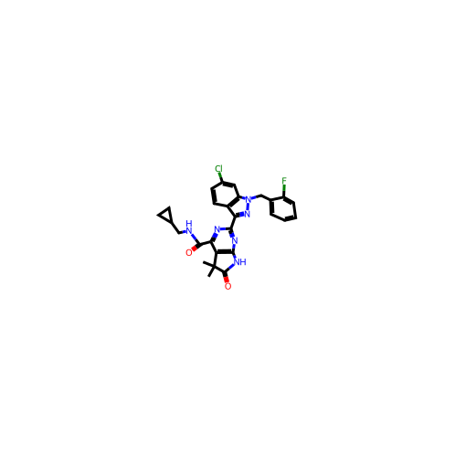 CC1(C)C(=O)Nc2nc(-c3nn(Cc4ccccc4F)c4cc(Cl)ccc34)nc(C(=O)NCC3CC3)c21